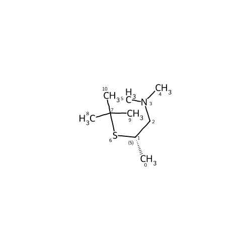 C[C@@H](CN(C)C)SC(C)(C)C